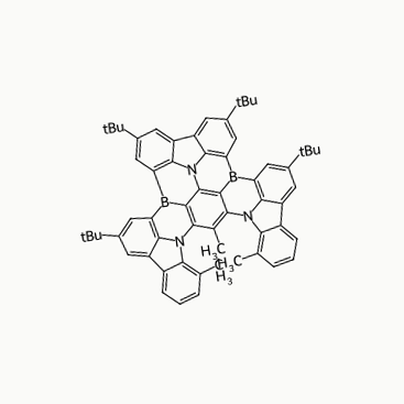 Cc1c2c3c4c5c1-n1c6c(C)cccc6c6cc(C(C)(C)C)cc(c61)B5c1cc(C(C)(C)C)cc5c6cc(C(C)(C)C)cc(c6n-4c15)B3c1cc(C(C)(C)C)cc3c4cccc(C)c4n-2c13